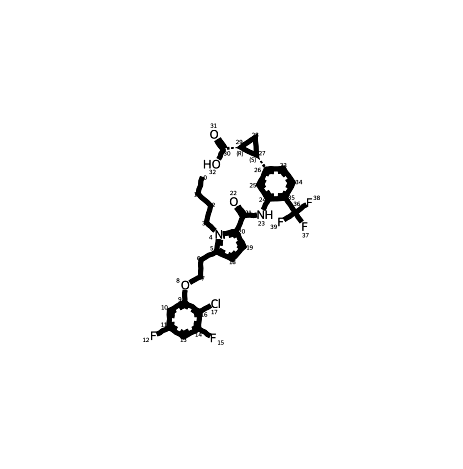 CCCCn1c(CCOc2cc(F)cc(F)c2Cl)ccc1C(=O)Nc1cc([C@H]2C[C@H]2C(=O)O)ccc1C(F)(F)F